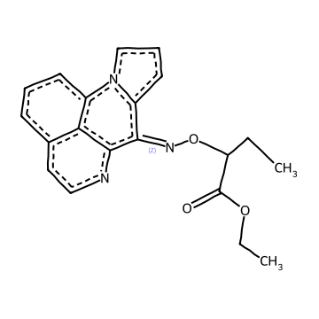 CCOC(=O)C(CC)O/N=c1/c2nccc3cccc(c32)n2cccc12